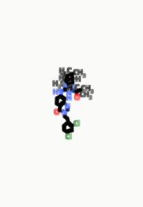 C[C@@H]1[C@@H](/N=C(\NNC(=O)C(C)(C)C)Nc2ccc3c(=O)n(CCc4ccc(Cl)cc4Cl)cnc3c2)C[C@H]2C[C@@H]1C2(C)C